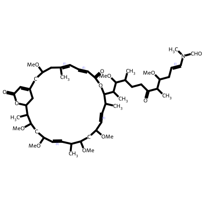 COC1/C=C/C(C)C(C(C)C(OC)C(C)CCC(=O)C(C)C(C/C=C/N(C)C=O)OC)OC(=O)/C=C/C=C(\C)CC(OC)CC2=CC(=O)OC(C2)C(C)C(OC)CC(OC)/C=C/C(C)C(OC)C1